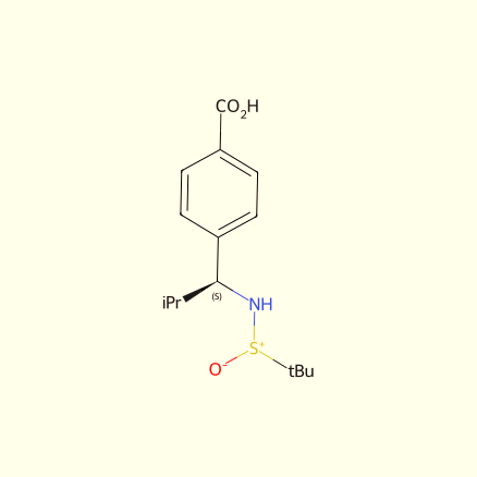 CC(C)[C@H](N[S+]([O-])C(C)(C)C)c1ccc(C(=O)O)cc1